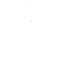 Cc1oncc1C(=O)Nc1ccc(-n2nc(C3CC3)cc2C2CC2)cc1